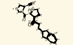 N#C[C@@H]1CSCN1C(=O)[C@@H]1NCCC1C(=O)CCC1Cc2ccccc2C1